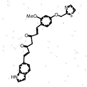 COc1cc(OCc2nccs2)ccc1C=CC(=O)CC(=O)C=Cc1ccc2cc[nH]c2c1